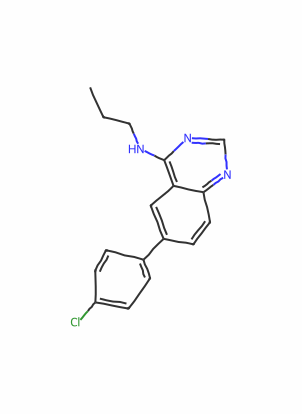 CCCNc1ncnc2ccc(-c3ccc(Cl)cc3)cc12